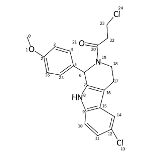 COc1ccc(C2c3[nH]c4ccc(Cl)cc4c3CCN2C(=O)CCCl)cc1